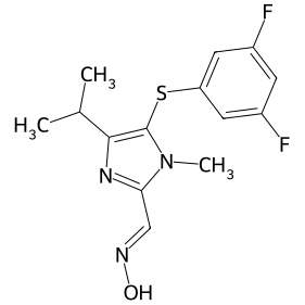 CC(C)c1nc(/C=N/O)n(C)c1Sc1cc(F)cc(F)c1